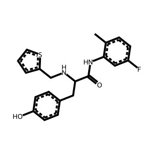 Cc1ccc(F)cc1NC(=O)C(Cc1ccc(O)cc1)NCc1cccs1